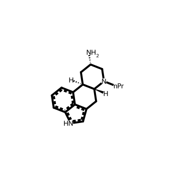 CCCN1C[C@@H](N)C[C@@H]2c3cccc4[nH]cc(c34)C[C@H]21